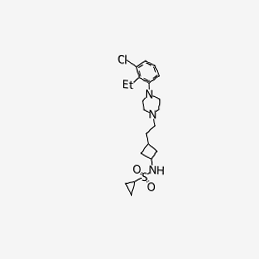 CCc1c(Cl)cccc1N1CCN(CCC2CC(NS(=O)(=O)C3CC3)C2)CC1